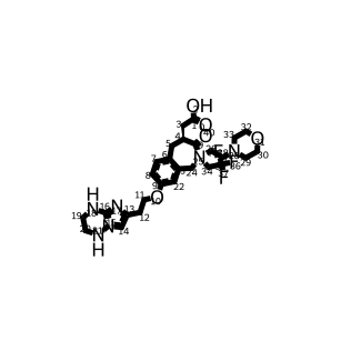 O=C(O)C[C@@H]1Cc2ccc(OCCc3cn4c(n3)NCCN4)cc2C[N+](CCN2CCOCC2)(CC(F)(F)F)C1=O